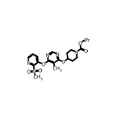 Cc1c(Oc2cccnc2S(C)(=O)=O)ncnc1OC1CCN(C(=O)OC(C)C)CC1